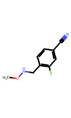 CONCc1ccc(C#N)cc1F